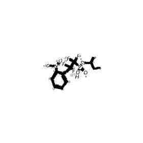 CCC(C)OP(=O)(O)C(F)(F)C(F)(F)c1ccccc1[N+](=O)[O-]